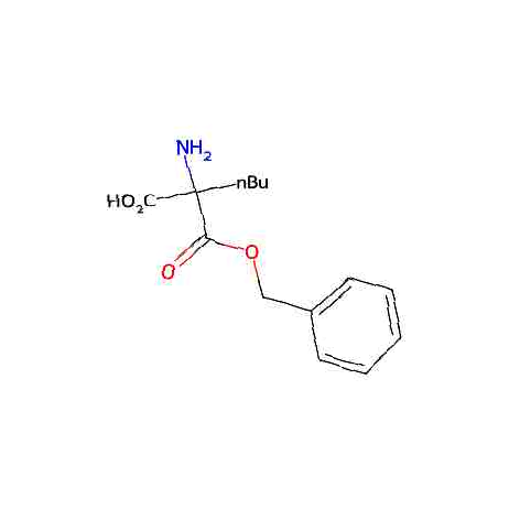 CCCCC(N)(C(=O)O)C(=O)OCc1ccccc1